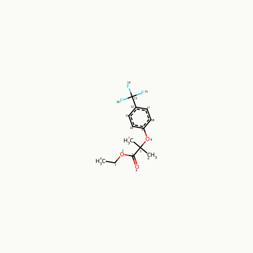 CCOC(=O)C(C)(C)Oc1ccc(C(F)(F)F)cc1